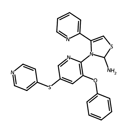 NC1SC=C(c2ccccn2)N1c1ncc(Sc2ccncc2)cc1Oc1ccccc1